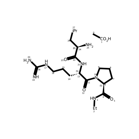 CC(=O)O.CCNC(=O)[C@@H]1CCCN1C(=O)[C@H](CCCNC(=N)N)NC(=O)[C@H](N)CC(C)C